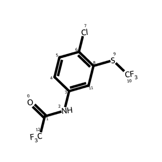 O=C(Nc1ccc(Cl)c(SC(F)(F)F)c1)C(F)(F)F